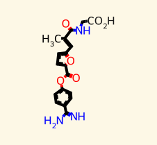 C/C(=C\c1ccc(C(=O)Oc2ccc(C(=N)N)cc2)o1)C(=O)NCC(=O)O